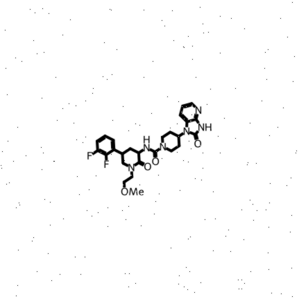 COCCN1CC(c2cccc(F)c2F)CC(NC(=O)N2CCC(n3c(=O)[nH]c4ncccc43)CC2)C1=O